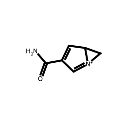 NC(=O)C1=CC2C[N+]2=C1